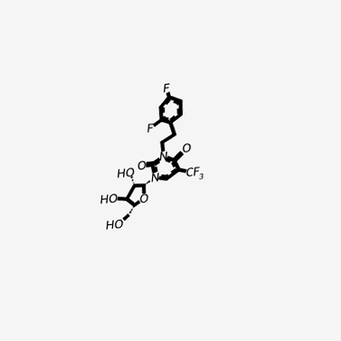 O=c1c(C(F)(F)F)cn([C@@H]2O[C@H](CO)C(O)[C@@H]2O)c(=O)n1CCc1ccc(F)cc1F